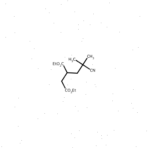 CCOC(=O)CC(CC(C)(C)C#N)C(=O)OCC